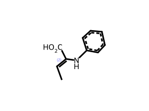 C/C=C(\Nc1ccccc1)C(=O)O